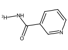 [2H]NC(=O)c1cccnc1